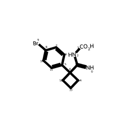 N=C(NC(=O)O)C1(c2ccc(Br)cc2)CCC1